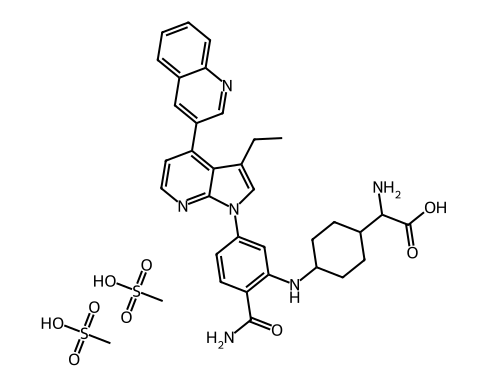 CCc1cn(-c2ccc(C(N)=O)c(NC3CCC(C(N)C(=O)O)CC3)c2)c2nccc(-c3cnc4ccccc4c3)c12.CS(=O)(=O)O.CS(=O)(=O)O